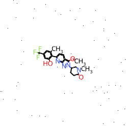 COc1c2ccc(-c3c(C)cc(C(F)(F)F)cc3O)nc2nn1C1CCC(=O)N(C)C1